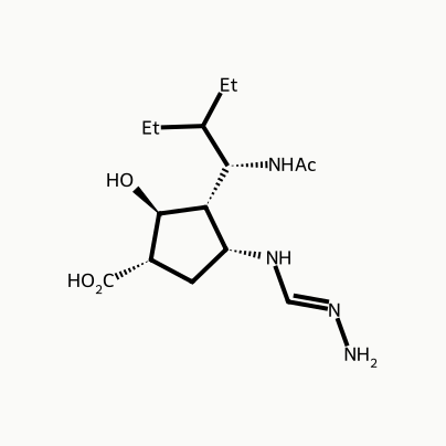 CCC(CC)[C@H](NC(C)=O)[C@H]1[C@H](O)[C@@H](C(=O)O)C[C@H]1NC=NN